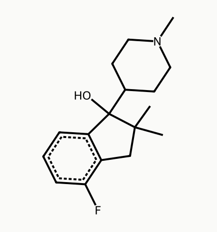 CN1CCC(C2(O)c3cccc(F)c3CC2(C)C)CC1